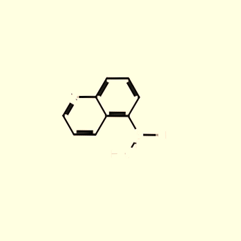 C[SH](C)c1cccc2ncccc12